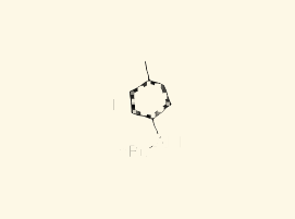 CCC[CH2][AlH][c]1ccc(C)cc1.[HH]